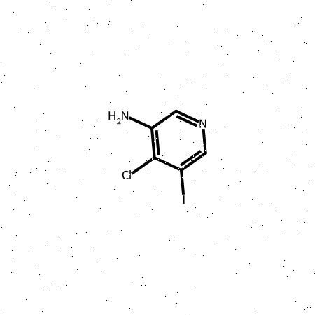 Nc1cncc(I)c1Cl